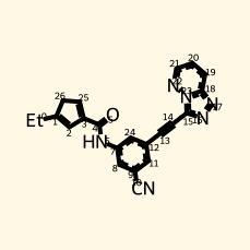 CCC1=CC(C(=O)Nc2cc(C#N)cc(C#Cc3nnc4cccnn34)c2)=CC1